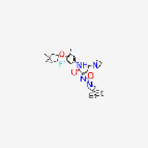 CCC1(CC)CN(c2nc(C(=O)Nc3cc(C)c(OC4CC5C[C@]5(C)C4)c(F)c3)c(CN3CCC3)o2)C1